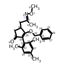 CO/N=C(\C)CC1CC(=O)C(c2c(C)cc(C)cc2C)=C1OCc1ccccc1